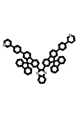 C1=CN=CC(c2ccc(-c3ccc4c(c3)C3(c5ccccc5-c5ccccc53)c3cc(-c5nc6ccccc6nc5-c5ccc6c(c5)C5(c7ccccc7-c7ccccc75)c5cc(-c7ccc(-c8cccnc8)cc7)ccc5-6)ccc3-4)cc2)C1